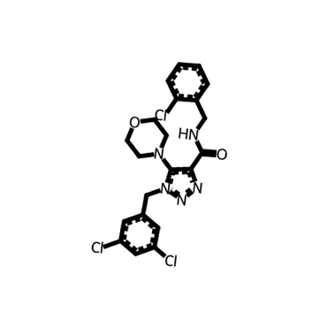 O=C(NCc1ccccc1Cl)c1nnn(Cc2cc(Cl)cc(Cl)c2)c1N1CCOCC1